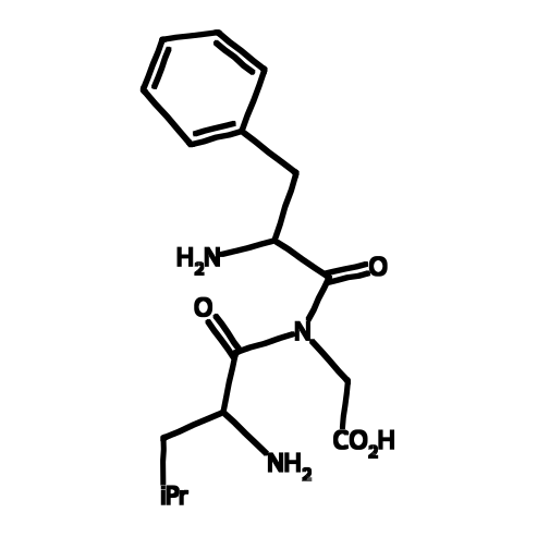 CC(C)CC(N)C(=O)N(CC(=O)O)C(=O)C(N)Cc1ccccc1